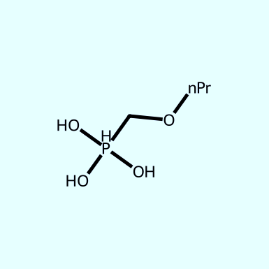 CCCOC[PH](O)(O)O